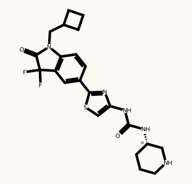 O=C(Nc1csc(-c2ccc3c(c2)C(F)(F)C(=O)N3CC2CCC2)n1)N[C@H]1CCCNC1